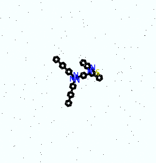 c1ccc(-c2ccc(-c3ccc(-c4nc(-c5ccc(-c6ccc(-c7ccccc7)cc6)cc5)nc(-c5ccc(-c6cc7c8ccccc8sc7c7nc8cc9ccccc9cc8n67)cc5)n4)cc3)cc2)cc1